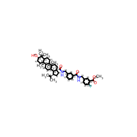 C=C(C)[C@@H]1CC[C@]2(C(=O)NCc3cccc(C(=O)NCc4ccc(F)c(C(=O)OC)c4)c3)CC[C@]3(C)C(CCC4[C@@]5(C)CC[C@H](O)C(C)(C)C5CC[C@]43C)C12